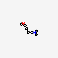 c1cc(-c2ccc(-c3ccc4oc5ccccc5c4c3)cc2)cc(-c2ccc(-n3c4ccccc4c4ccccc43)cc2)c1